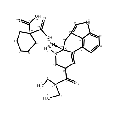 CCN(CC)C(=O)[C@@H]1C=C2c3cccc4[nH]cc(c34)C[C@H]2N(C)C1.O=C(O)C1(C(=O)O)CCCCC1